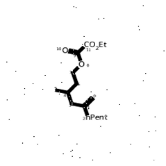 C=C(CCCCC)CC(C)CCOC(=O)C(=O)OCC